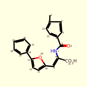 Cc1ccc(C(=O)N/C(=C\c2ccc(-c3ccccc3)o2)C(=O)O)cc1